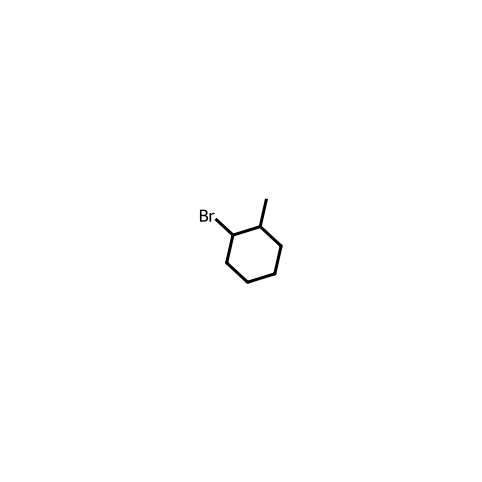 CC1CCCCC1Br